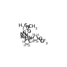 CN(C)C(=O)Cn1nnc(-c2ccccc2Nc2ccc(OC(F)(F)F)cc2)n1